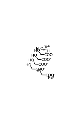 C=C.O=C([O-])CO.O=C([O-])CO.O=C([O-])CO.O=C([O-])CO.O=C([O-])CO.[Na+].[Ti+4]